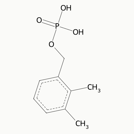 Cc1cccc(COP(=O)(O)O)c1C